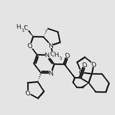 C[C@H](Oc1cc([C@@H]2CCOC2)nc(C(=O)C2CCC[C@@]3(CCCCC34OCCO4)C2=O)n1)[C@@H]1CCCN1C